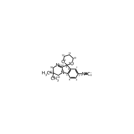 [C-]#[N+]c1ccc2c(c1)C1(OCCCO1)C1=NCC(C)(C)CN12